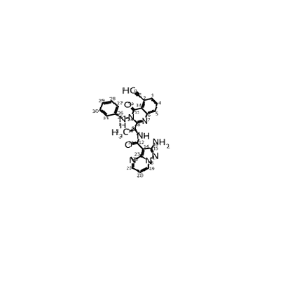 C#Cc1cccc2nc([C@H](C)NC(=O)c3c(N)nn4cccnc34)n(Nc3ccccc3)c(=O)c12